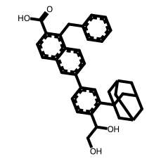 O=C(O)c1ccc2cc(-c3ccc(C(O)CO)c(C45CC6CC(CC(C6)C4)C5)c3)ccc2c1Cc1ccccc1